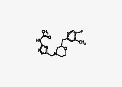 CC(=O)Nc1ncc(CN2CCOC(Cc3cc(C)c(F)cn3)C2)s1